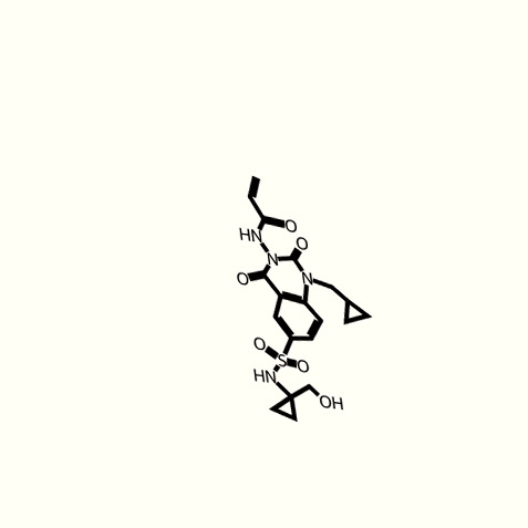 C=CC(=O)Nn1c(=O)c2cc(S(=O)(=O)NC3(CO)CC3)ccc2n(CC2CC2)c1=O